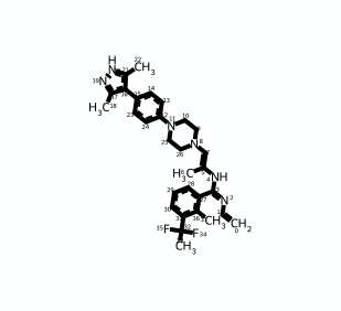 C=C/N=C(/N/C(C)=C/N1CCN(c2ccc(-c3c(C)n[nH]c3C)cc2)CC1)c1cccc(C(C)(F)F)c1C